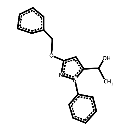 CC(O)c1cc(OCc2ccccc2)nn1-c1ccccc1